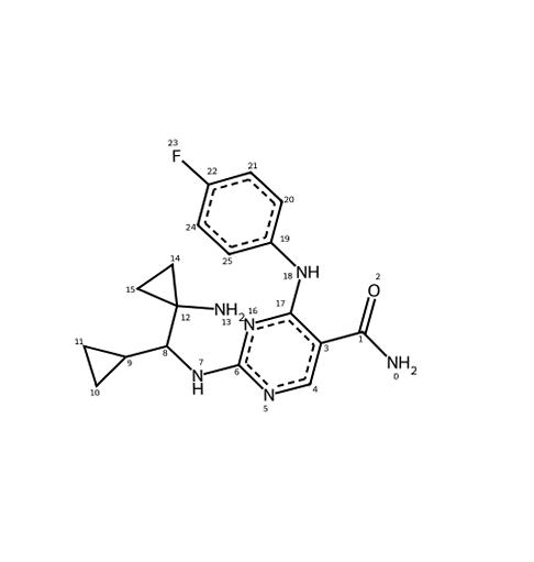 NC(=O)c1cnc(NC(C2CC2)C2(N)CC2)nc1Nc1ccc(F)cc1